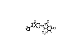 Cc1c(Cl)cc2c(=O)nc(N3CCC4(CC3)CC(c3cccs3)=NC4=O)sc2c1[N+](=O)[O-]